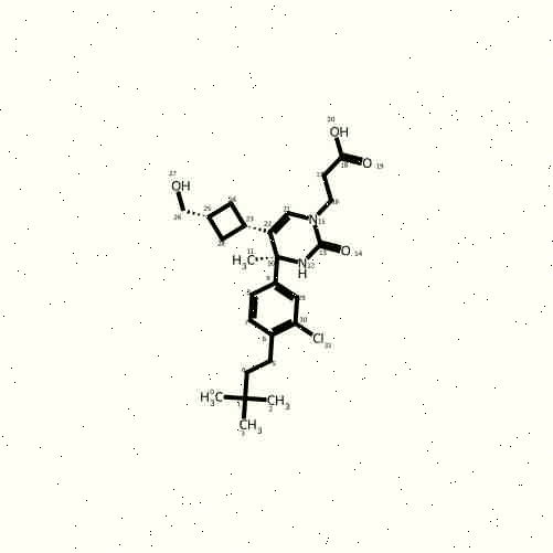 CC(C)(C)CCc1ccc([C@]2(C)NC(=O)N(CCC(=O)O)C=C2[C@H]2C[C@@H](CO)C2)cc1Cl